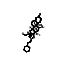 C[C@]12C=CC(=O)C=C1CC[C@H]1[C@@H]3C[C@H]4CN(CCC5CCCCC5)O[C@@]4(C(=O)SCF)[C@@]3(C)C[C@H](O)[C@@]12F